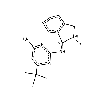 C[C@H]1Cc2ccccc2[C@H]1Nc1nc(N)nc(C(C)(C)F)n1